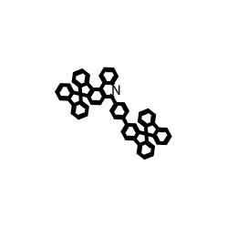 c1ccc2c(c1)-c1ccccc1C21c2ccccc2-c2ccc(-c3ccc(-c4nc5ccccc5c5c6c(ccc45)C4(c5ccccc5-c5ccccc54)c4ccccc4-6)cc3)cc21